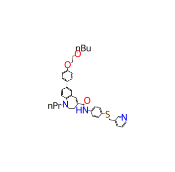 CCCCOCCOc1ccc(-c2ccc3c(c2)C=C(C(=O)Nc2ccc(SCc4cccnc4)cc2)CCN3CCC)cc1